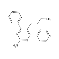 CCCCc1c(-c2ccncc2)nc(N)nc1-c1cccnc1